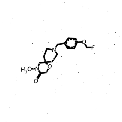 CN1CC2(CCN(Cc3ccc(OCF)cc3)CC2)OCC1=O